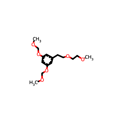 COCCOCCc1cc(OCOC)cc(OCOC)c1